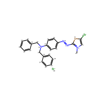 C[n+]1cc(Br)sc1N=Nc1ccc(N(Cc2ccccc2)Cc2ccccc2)cc1.[Br-]